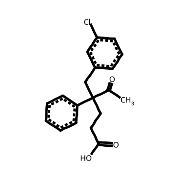 CC(=O)C(CCC(=O)O)(Cc1cccc(Cl)c1)c1ccccc1